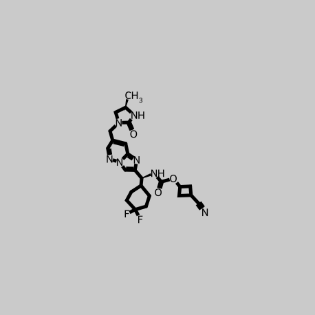 C[C@@H]1CN(Cc2cnn3cc([C@@H](NC(=O)OC4CC(C#N)C4)C4CCC(F)(F)CC4)nc3c2)C(=O)N1